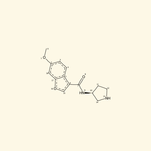 COc1ccc2c(C(=O)N[C@H]3CCNC3)coc2c1